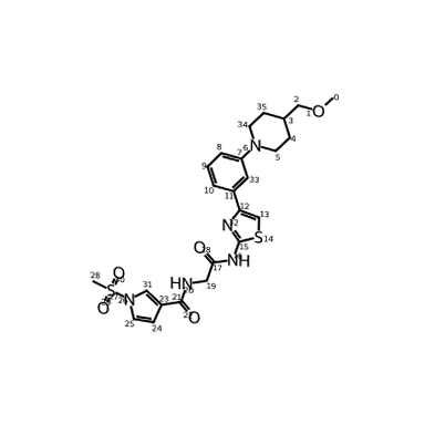 COCC1CCN(c2cccc(-c3csc(NC(=O)CNC(=O)c4ccn(S(C)(=O)=O)c4)n3)c2)CC1